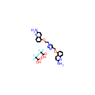 Nc1ccc2c(OCCn3cc(COc4cccc5nc(N)ccc45)nn3)cccc2n1.O=C(O)C(F)(F)F.O=C(O)C(F)(F)F